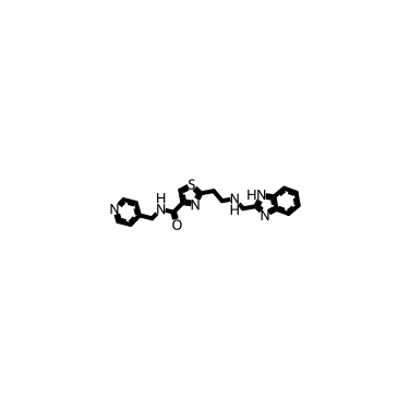 O=C(NCc1ccncc1)c1csc(CCNCc2nc3ccccc3[nH]2)n1